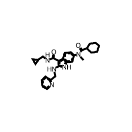 CN(C(=O)C1CCCCC1)c1ccc2c(C(=O)NCC3CC3)c(NCc3ccccn3)[nH]c2c1